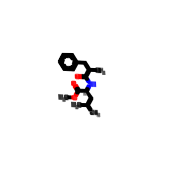 COC(=O)[C@H](CC(C)C)NC(=O)C(C)Cc1ccccc1